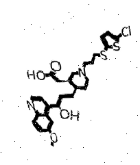 COc1ccc2nccc([C@@H](O)CC[C@@H]3CCN(CCCSc4ccc(Cl)s4)C[C@@H]3CC(=O)O)c2c1